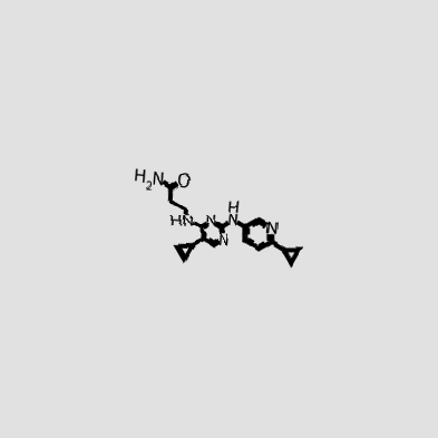 NC(=O)CCNc1nc(Nc2ccc(C3CC3)nc2)ncc1C1CC1